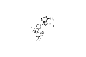 CC(=O)N1CCN(c2cc(-c3cc(C(F)(F)F)c4c(N)ncnn34)ccc2[C@@H](C)O)C(=O)C1(C)C